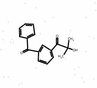 CC(C)(O)C(=O)c1cccc(C(=O)c2ccccc2)c1